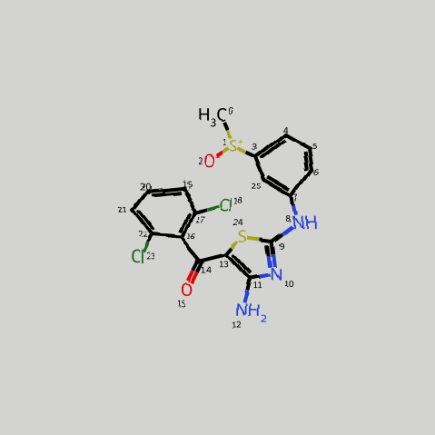 C[S+]([O-])c1cccc(Nc2nc(N)c(C(=O)c3c(Cl)cccc3Cl)s2)c1